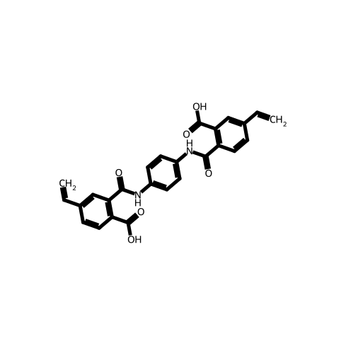 C=Cc1ccc(C(=O)Nc2ccc(NC(=O)c3cc(C=C)ccc3C(=O)O)cc2)c(C(=O)O)c1